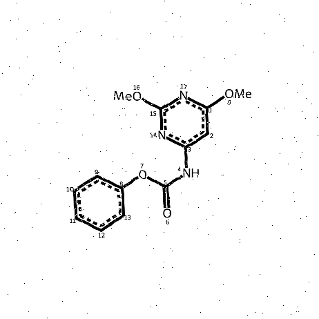 COc1cc(NC(=O)Oc2ccccc2)nc(OC)n1